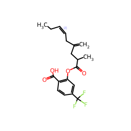 C=C(C/C=C\CC)CC(C)C(=O)Oc1cc(C(F)(F)F)ccc1C(=O)O